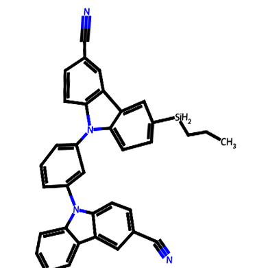 CCC[SiH2]c1ccc2c(c1)c1cc(C#N)ccc1n2-c1cccc(-n2c3ccccc3c3cc(C#N)ccc32)c1